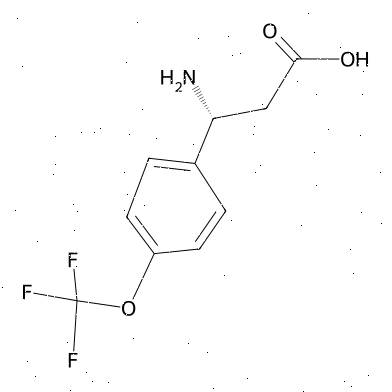 N[C@H](CC(=O)O)c1ccc(OC(F)(F)F)cc1